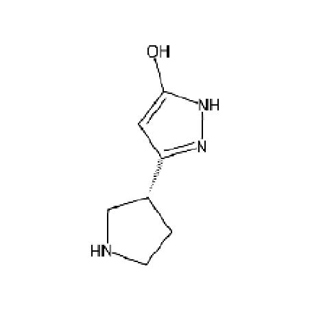 Oc1cc([C@@H]2CCNC2)n[nH]1